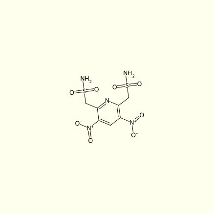 NS(=O)(=O)Cc1nc(CS(N)(=O)=O)c([N+](=O)[O-])cc1[N+](=O)[O-]